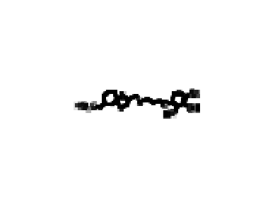 CCCc1c(OCCCSCC2CSC3(CCCC(CC(=O)O)C3)S2)ccc(C(C)=O)c1O